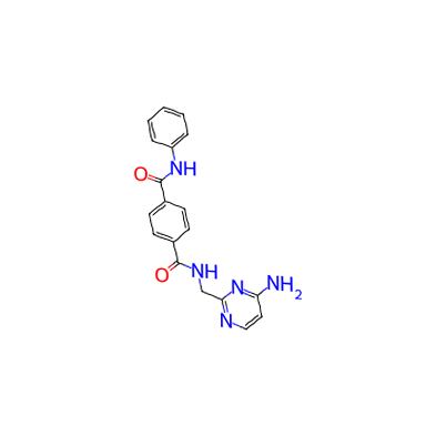 Nc1ccnc(CNC(=O)c2ccc(C(=O)Nc3ccccc3)cc2)n1